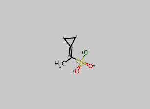 CC(=C1CC1)S(=O)(=O)Cl